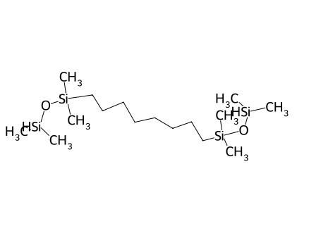 C[SiH](C)O[Si](C)(C)CCCCCCCC[Si](C)(C)O[SiH](C)C